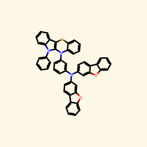 c1ccc(-n2c3c(c4ccccc42)Sc2ccccc2N3c2cccc(N(c3ccc4c(c3)oc3ccccc34)c3ccc4c(c3)oc3ccccc34)c2)cc1